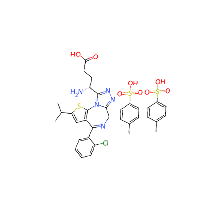 CC(C)c1cc2c(s1)-n1c(nnc1[C@H](N)CCC(=O)O)CN=C2c1ccccc1Cl.Cc1ccc(S(=O)(=O)O)cc1.Cc1ccc(S(=O)(=O)O)cc1